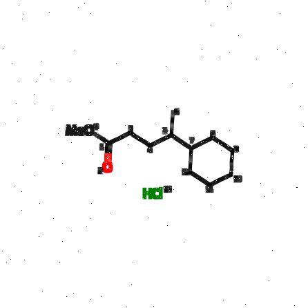 COC(=O)CCC(C)C1CCCCC1.Cl